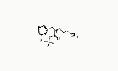 CCC(C)(C)OC(=O)N(CCC[SiH3])Cc1ccccc1